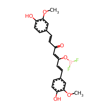 COc1cc(/C=C/C(=O)/C=C(/C=C/c2ccc(O)c(OC)c2)OB(F)F)ccc1O